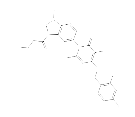 CC(=O)N1CN(C(=O)CCO)c2cc(-n3c(C)cc(OCc4ccc(F)cc4F)c(Cl)c3=O)ccc21